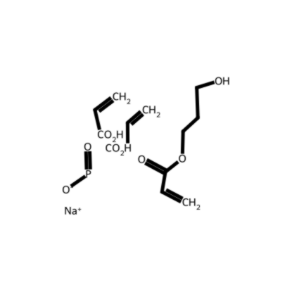 C=CC(=O)O.C=CC(=O)O.C=CC(=O)OCCCO.O=P[O-].[Na+]